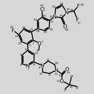 COc1c(-c2ccnc(N3CCN(C(=O)OC(C)(C)C)CC3)c2)cc(F)cc1-c1ccc(-n2ccn(C(F)F)c2=O)c(Cl)c1